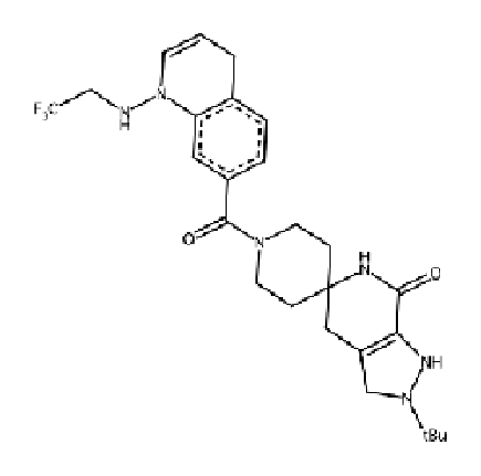 CC(C)(C)N1CC2=C(N1)C(=O)NC1(CCN(C(=O)c3ccc4c(c3)N(NCC(F)(F)F)C=CC4)CC1)C2